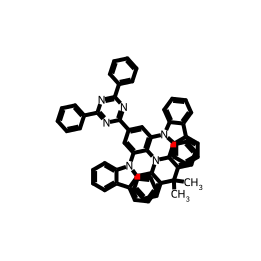 CC1(C)c2ccccc2N(c2c(-n3c4ccccc4c4ccccc43)cc(-c3nc(-c4ccccc4)nc(-c4ccccc4)n3)cc2-n2c3ccccc3c3ccccc32)c2ccccc21